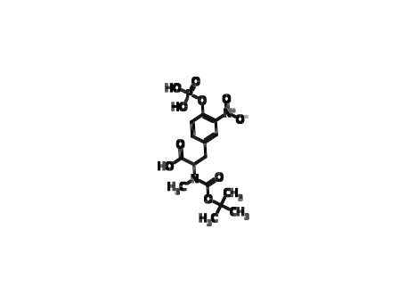 CN(C(=O)OC(C)(C)C)C(Cc1ccc(OP(=O)(O)O)c([N+](=O)[O-])c1)C(=O)O